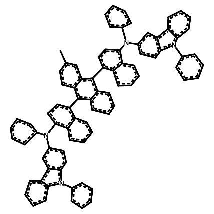 Cc1ccc2c(-c3ccc(N(c4ccccc4)c4ccc5c(c4)c4ccccc4n5-c4ccccc4)c4ccccc34)c3ccccc3c(-c3ccc(N(c4ccccc4)c4ccc5c(c4)c4ccccc4n5-c4ccccc4)c4ccccc34)c2c1